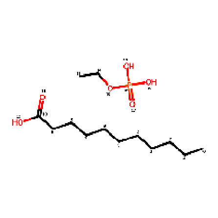 CCCCCCCCCCC(=O)O.CCOP(=O)(O)O